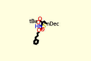 CCCCCCCCCCc1cc(C(=O)OC(C)(C)C)c(NC(=O)OCCCCc2ccccc2)s1